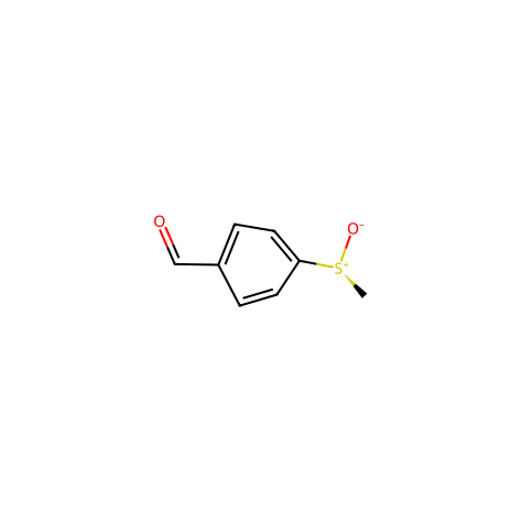 C[S@+]([O-])c1ccc(C=O)cc1